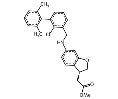 COC(=O)C[C@@H]1COc2cc(NCc3cccc(-c4c(C)cccc4C)c3Cl)ccc21